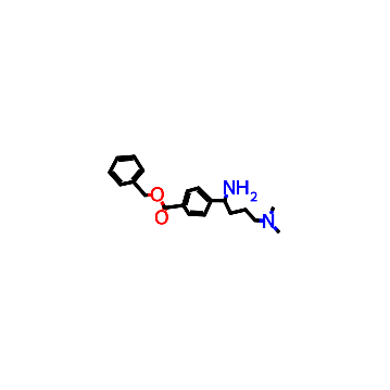 CN(C)CCCC(N)c1ccc(C(=O)OCc2ccccc2)cc1